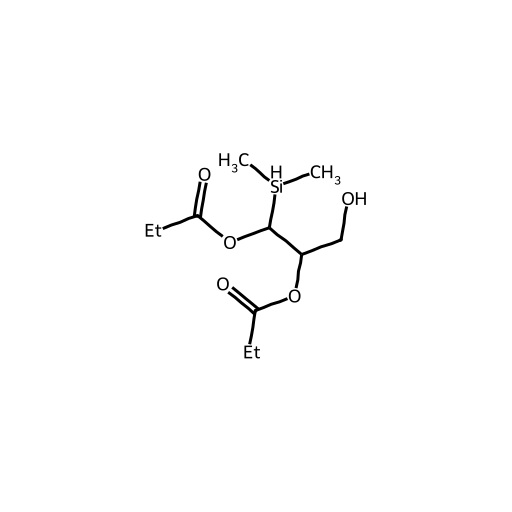 CCC(=O)OC(CO)C(OC(=O)CC)[SiH](C)C